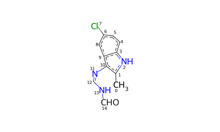 Cc1[nH]c2ccc(Cl)cc2c1/N=C\NC=O